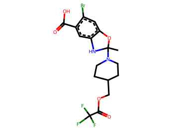 CC1(N2CCC(COC(=O)C(F)(F)F)CC2)Nc2cc(C(=O)O)c(Br)cc2O1